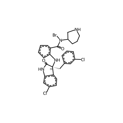 O=C(c1ccccc1N[C@]1(Cc2cccc(Cl)c2)C(=O)Nc2cc(Cl)ccc21)N(Br)C1CCCNC1